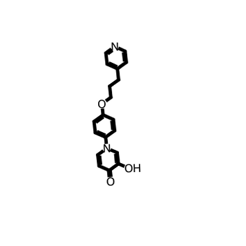 O=c1ccn(-c2ccc(OCCCc3ccncc3)cc2)cc1O